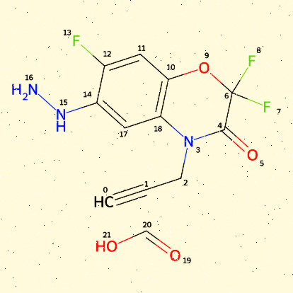 C#CCN1C(=O)C(F)(F)Oc2cc(F)c(NN)cc21.O=CO